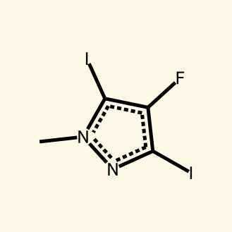 Cn1nc(I)c(F)c1I